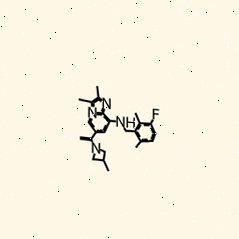 C=C(c1cc(NCc2c(C)ccc(F)c2C)c2nc(C)c(C)n2c1)N1CC(C)C1